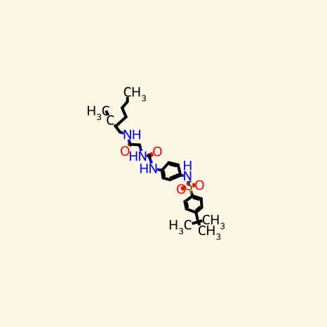 CCCCC(CC)CNC(=O)CNC(=O)Nc1ccc(NS(=O)(=O)c2ccc(C(C)(C)C)cc2)cc1